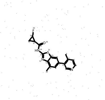 Cc1ccncc1-c1cc(C)c2nc(NC(=O)C3CC3F)sc2c1